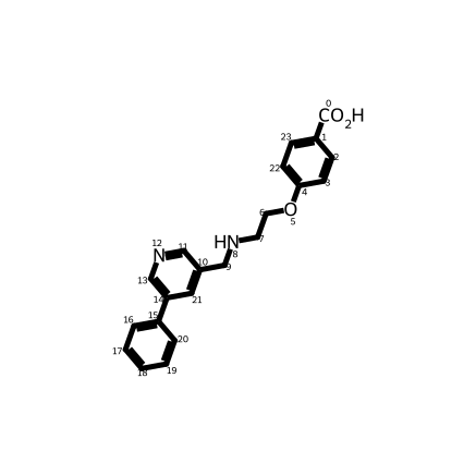 O=C(O)c1ccc(OCCNCc2cncc(-c3ccccc3)c2)cc1